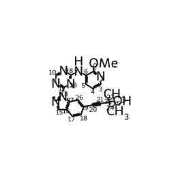 COc1ncccc1Nc1ncnc(-n2ncc3ccc(C#CC(C)(C)O)cc32)n1